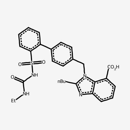 CCCCc1nc2cccc(C(=O)O)c2n1Cc1ccc(-c2ccccc2S(=O)(=O)NC(=O)NCC)cc1